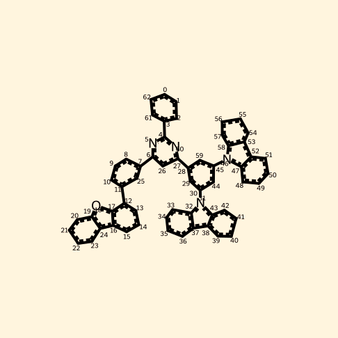 c1ccc(-c2nc(-c3cccc(-c4cccc5c4oc4ccccc45)c3)cc(-c3cc(-n4c5ccccc5c5ccccc54)cc(-n4c5ccccc5c5ccccc54)c3)n2)cc1